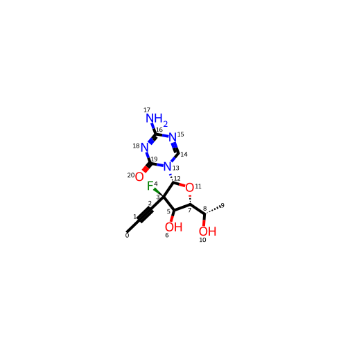 CC#C[C@@]1(F)C(O)[C@@H]([C@H](C)O)O[C@H]1n1cnc(N)nc1=O